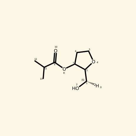 [2H][C@H](O)C1OCCC1OC(=O)C(C)C